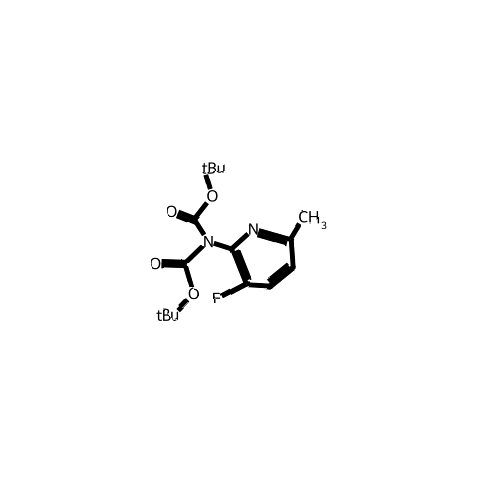 Cc1ccc(F)c(N(C(=O)OC(C)(C)C)C(=O)OC(C)(C)C)n1